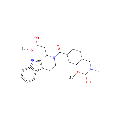 CCOC(O)CC1c2[nH]c3ccccc3c2CCN1C(=O)C1CCC(CN(C)C(O)OC(C)(C)C)CC1